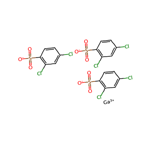 O=S(=O)([O-])c1ccc(Cl)cc1Cl.O=S(=O)([O-])c1ccc(Cl)cc1Cl.O=S(=O)([O-])c1ccc(Cl)cc1Cl.[Ga+3]